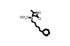 CC1NC(=O)C1N(CCCCCc1ccccc1)C(=O)O